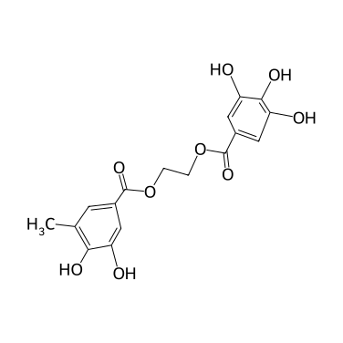 Cc1cc(C(=O)OCCOC(=O)c2cc(O)c(O)c(O)c2)cc(O)c1O